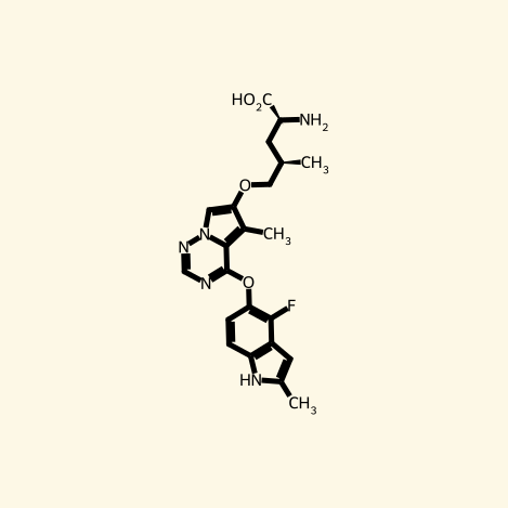 Cc1cc2c(F)c(Oc3ncnn4cc(OC[C@H](C)C[C@H](N)C(=O)O)c(C)c34)ccc2[nH]1